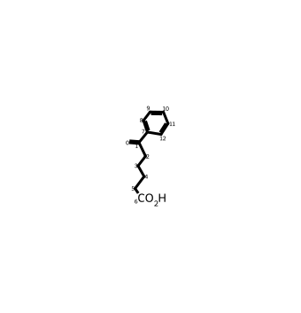 C=C(CCCCC(=O)O)c1ccccc1